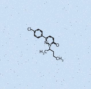 CCCC(C)n1nc(-c2ccc(Cl)cc2)ccc1=O